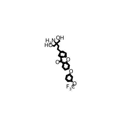 NC(CO)(CO)CCc1ccc2oc3cc(Oc4cccc(OC(F)(F)F)c4)ccc3c(=O)c2c1